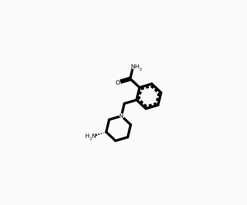 NC(=O)c1ccccc1CN1CCC[C@H](N)C1